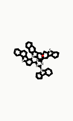 c1ccc2cc3c(cc2c1)c1ccccc1n3-c1c(-c2nc(-c3ccc4sc5ccccc5c4c3)nc(-n3c4ccccc4c4ccccc43)n2)ccc2sc3c4ccccc4ccc3c12